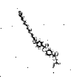 CCC(C)COC(=O)c1ccc(OC(=O)c2ccc(OCCCCCCCCCCCCBr)cc2)cc1